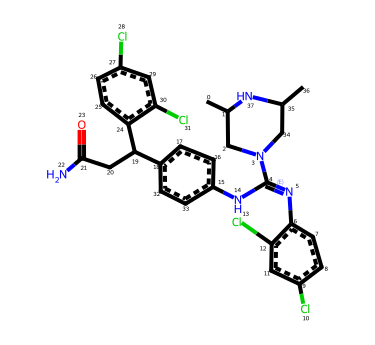 CC1CN(/C(=N/c2ccc(Cl)cc2Cl)Nc2ccc(C(CC(N)=O)c3ccc(Cl)cc3Cl)cc2)CC(C)N1